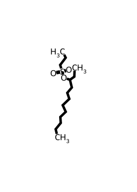 CCCCCCCCCC(CC)OS(=O)(=O)CCC